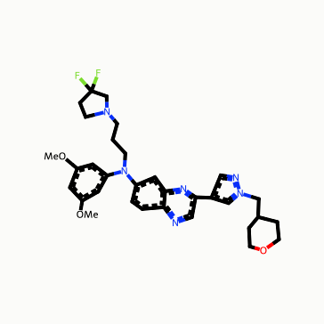 COc1cc(OC)cc(N(CCCN2CCC(F)(F)C2)c2ccc3ncc(-c4cnn(CC5CCOCC5)c4)nc3c2)c1